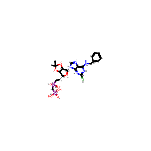 CC1(C)OC2C(O1)[C@@H](CCP(=O)(O)CP(=O)(O)O)O[C@H]2n1cnc2c(NCc3ccccc3)nc(Cl)nc21